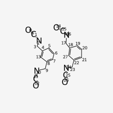 O=C=NCc1cccc(CN=C=O)c1.O=C=NCc1cccc(CN=C=O)c1